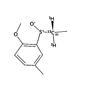 [1H][13C@]([2H])(C)[S+]([O-])c1cc(C)ccc1OC